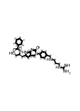 N=C(N)NCCCNCc1ccc(-n2cc3cc(C[C@@H](CO)NC(=O)c4ccccc4)[nH]c3nc2=O)cc1